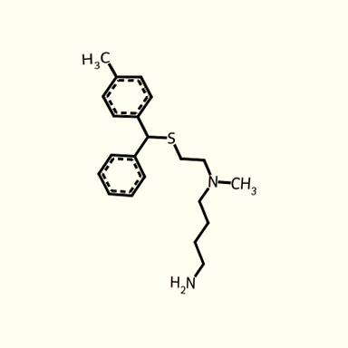 Cc1ccc(C(SCCN(C)CCCCN)c2ccccc2)cc1